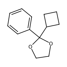 c1ccc(C2(C3CCC3)OCCO2)cc1